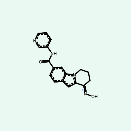 O=C(Nc1cccnc1)c1ccc2cc3n(c2c1)CCC/C3=N\O